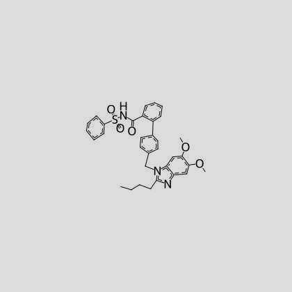 CCCCc1nc2cc(OC)c(OC)cc2n1Cc1ccc(-c2ccccc2C(=O)NS(=O)(=O)c2ccccc2)cc1